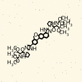 COC(=O)N[C@H](C(=O)N1CCC[C@H]1c1ncc(-c2ccc3c(c2)COc2cc4c(ccc5nc([C@@H]6CCCN6C(=O)C(NC(OC)OC)[C@@H](C)OC)[nH]c54)cc2-3)[nH]1)[C@@H](C)OC